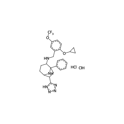 Cl.Cl.FC(F)(F)Oc1ccc(OC2CC2)c(CNC2CCC3NC2(c2ccccc2)CC3c2nnn[nH]2)c1